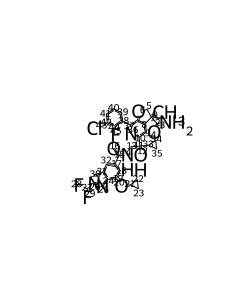 C[C@]1(C(N)=O)COc2c1cc(C(O)(CNC(=O)c1cc(OC3CC3)c3nn(C(F)F)cc3c1)C1CC1)nc2-c1cccc(Cl)c1F